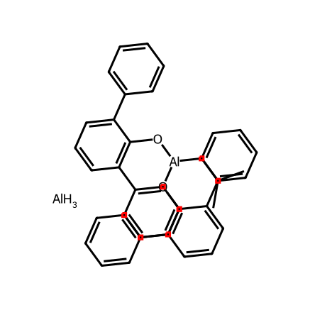 CC(C)[CH2][Al]([O]c1c(-c2ccccc2)cccc1-c1ccccc1)[O]c1c(-c2ccccc2)cccc1-c1ccccc1.[AlH3]